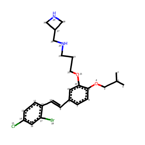 CC(C)COc1ccc(/C=C/c2ccc(Cl)cc2Br)cc1OCCCNCC1CNC1